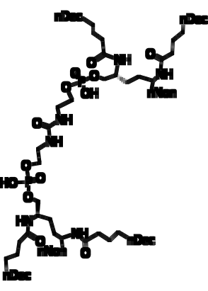 CCCCCCCCCCCCCC(=O)NC(CCCCCCCCC)CC[C@H](COP(=O)(O)OCCNC(=O)NCCOP(=O)(O)OC[C@@H](CCC(CCCCCCCCC)NC(=O)CCCCCCCCCCCCC)NC(=O)CCCCCCCCCCCCC)NC(=O)CCCCCCCCCCCCC